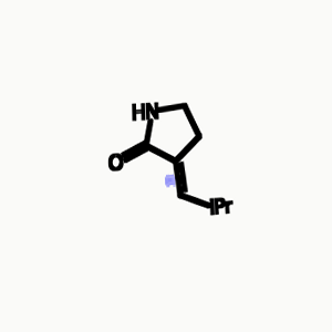 CC(C)/C=C1\CCNC1=O